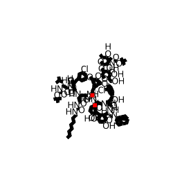 CCCCCCCCNC(=O)NC(=O)C[C@@H]1NC(=O)[C@H](NC(=O)[C@@H](CC(C)C)NC(=O)OC(C)(C)C)[C@H](O)c2ccc(c(Cl)c2)Oc2cc3cc(c2OC2OC(CO)C(O)C(O)C2OC2CC(C)(NC(=O)OC(C)(C)C)C(O)C(C)O2)Oc2ccc(cc2Cl)[C@@H](O)[C@@H]2NC(=O)[C@H](NC(=O)[C@@H]3NC1=O)c1ccc(O)c(c1)-c1c(O)cc(O)cc1[C@@H](C(=O)NC1C3CC4CC(C3)CC1C4)NC2=O